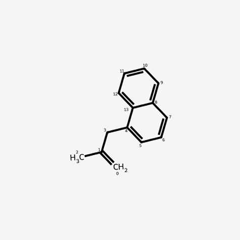 C=C(C)Cc1cccc2ccccc12